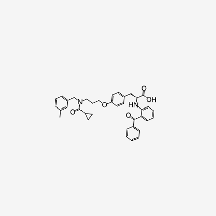 Cc1cccc(CN(CCCOc2ccc(C[C@H](Nc3ccccc3C(=O)c3ccccc3)C(=O)O)cc2)C(=O)C2CC2)c1